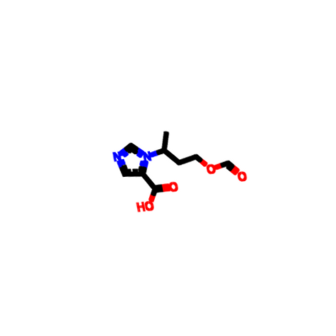 CC(CCOC=O)n1cncc1C(=O)O